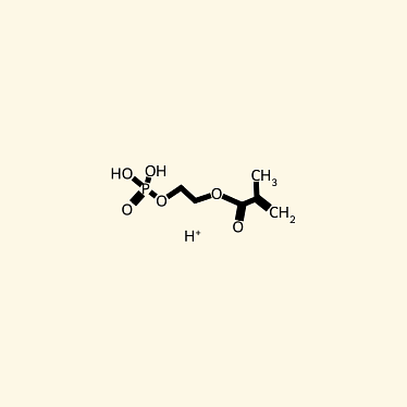 C=C(C)C(=O)OCCOP(=O)(O)O.[H+]